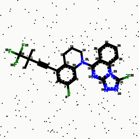 CC(C)(C#Cc1cc(F)cc2c1CCCN2c1nc2nnc(F)n2c2ccccc12)C(F)(F)F